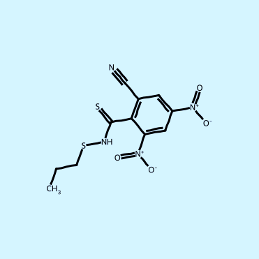 CCCSNC(=S)c1c(C#N)cc([N+](=O)[O-])cc1[N+](=O)[O-]